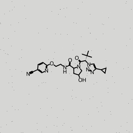 CC(C)(C)[C@@H](C(=O)N1CC(O)CC1C(=O)NCCOc1ccc(C#N)cn1)n1cc(C2CC2)nn1